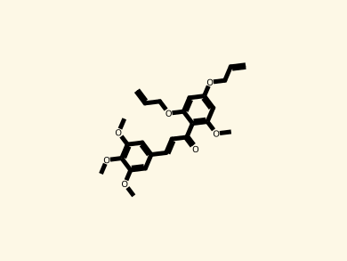 C=CCOc1cc(OC)c(C(=O)C=Cc2cc(OC)c(OC)c(OC)c2)c(OCC=C)c1